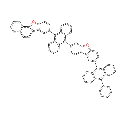 c1ccc(-c2c3ccccc3c(-c3ccc4oc5cc(-c6c7ccccc7c(-c7ccc8oc9c%10ccccc%10ccc9c8c7)c7ccccc67)ccc5c4c3)c3ccccc23)cc1